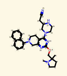 CN1CCCC1(C)COc1nc2c(c(N3CCNC(CC#N)C3)n1)CCN(c1cccc3ccccc13)C2